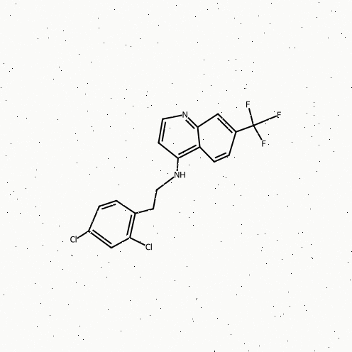 FC(F)(F)c1ccc2c(NCCc3ccc(Cl)cc3Cl)ccnc2c1